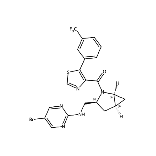 O=C(c1ncsc1-c1cccc(C(F)(F)F)c1)N1[C@H](CNc2ncc(Br)cn2)C[C@@H]2C[C@@H]21